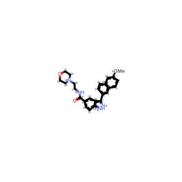 COc1ccc2cc(-c3n[nH]c4ccc(C(=O)NCCN5CCOCC5)cc34)ccc2c1